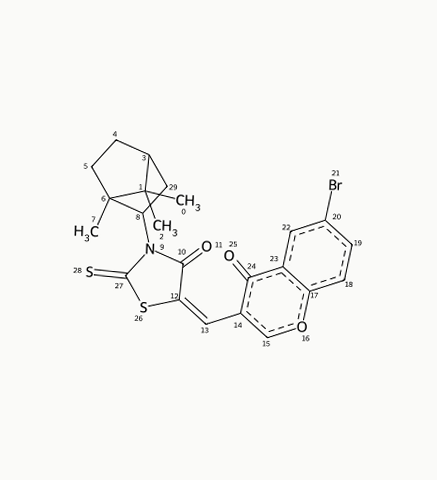 CC1(C)C2CCC1(C)C(N1C(=O)C(=Cc3coc4ccc(Br)cc4c3=O)SC1=S)C2